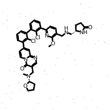 COc1nc(-c2cccc(-c3cccc(-c4ccn5c(=O)c(CN(C)[C@@H]6CCCO6)cnc5c4)c3Cl)c2Cl)ccc1CNC[C@@H]1CCC(=O)N1